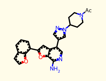 CC(=O)N1CCC(n2cc(-c3cnc(N)c4oc(-c5cccc6ccoc56)cc34)cn2)CC1